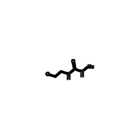 CCC(C)NC(=O)NCC[O]